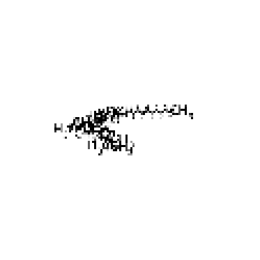 CCCCCCCCCCCCOC(=O)O[C@H]1CN[C@@H](C(c2ccc(C(C)(C)C)cc2)c2ccc(C(C)(C)C)cc2)C1